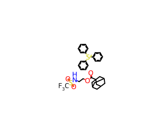 O=C(OCCNS(=O)(=O)C(F)(F)F)C12CC3CC(CC(C3)C1)C2.c1ccc([S+](c2ccccc2)c2ccccc2)cc1